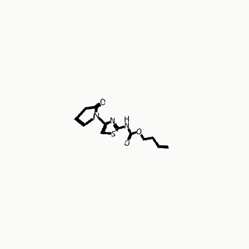 CCCCOC(=O)Nc1nc(N2CCCC2=O)cs1